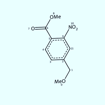 COCc1ccc(C(=O)OC)c([N+](=O)[O-])c1